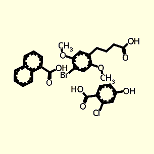 COc1cc(CCCC(=O)O)c(OC)cc1Br.O=C(O)c1ccc(O)cc1Cl.O=C(O)c1cccc2ccccc12